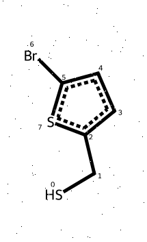 SCc1ccc(Br)s1